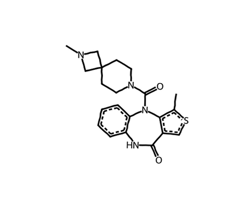 Cc1scc2c1N(C(=O)N1CCC3(CC1)CN(C)C3)c1ccccc1NC2=O